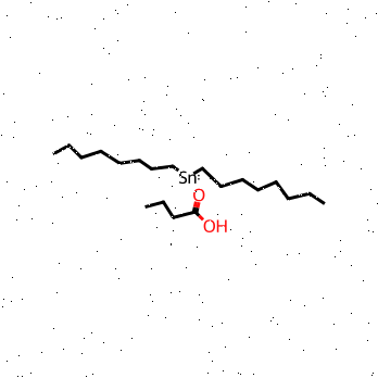 CCCC(=O)O.CCCCCCC[CH2][Sn][CH2]CCCCCCC